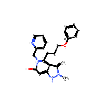 C=C1c2c(cc(=O)n(Cc3ccccn3)c2CCCOc2ccccc2)NN1C